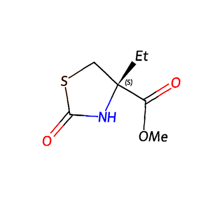 CC[C@]1(C(=O)OC)CSC(=O)N1